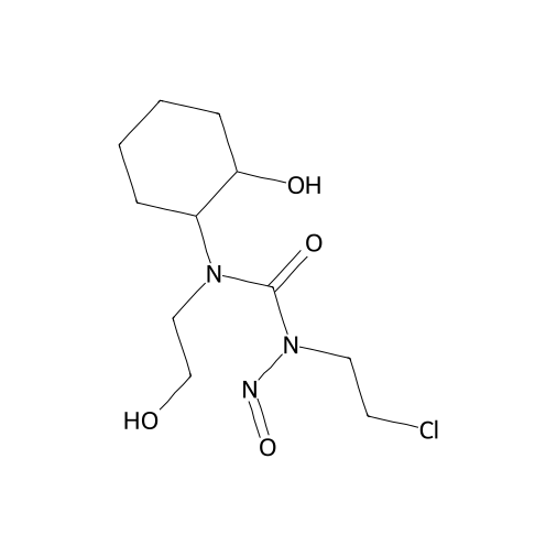 O=NN(CCCl)C(=O)N(CCO)C1CCCCC1O